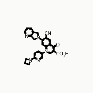 N#Cc1cc2c(=O)c(C(=O)O)cn(-c3ccc(N4CCC4)nc3)c2cc1N1Cc2cccnc2C1